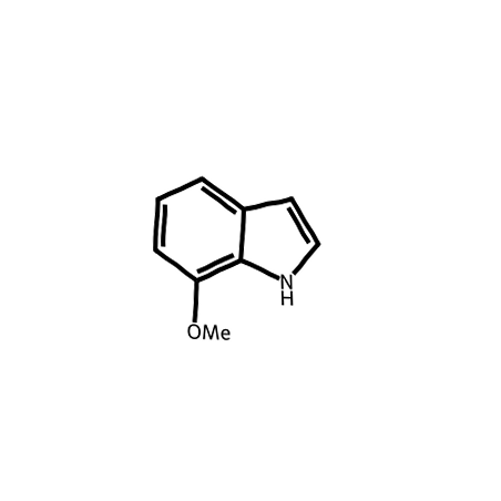 [CH2]Oc1cccc2cc[nH]c12